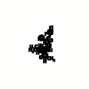 C[C@@H]1[C@@H](N=C(Nc2ccc3c(=O)n(CCc4ccc(Cl)cc4F)c(-c4cccnc4)nc3c2)N2CC(=O)N[C@@H](C)C2)C[C@H]2C[C@@H]1C2(C)C